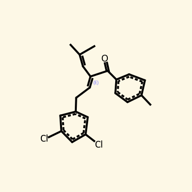 CC(C)=C/C(=C\Cc1cc(Cl)cc(Cl)c1)C(=O)c1ccc(C)cc1